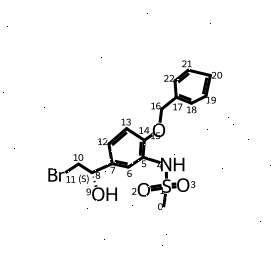 CS(=O)(=O)Nc1cc([C@H](O)CBr)ccc1OCc1ccccc1